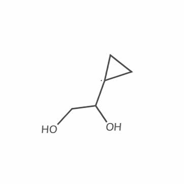 OCC(O)[C]1CC1